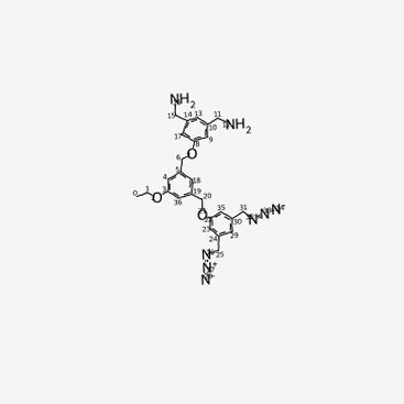 CCOc1cc(COc2cc(CN)cc(CN)c2)cc(COc2cc(CN=[N+]=[N-])cc(CN=[N+]=[N-])c2)c1